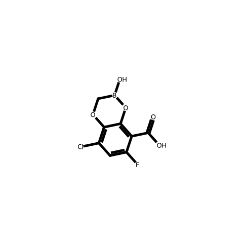 O=C(O)c1c(F)cc(Cl)c2c1OB(O)CO2